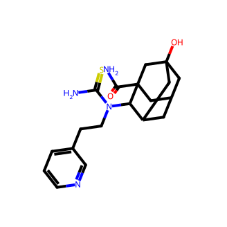 NC(=O)C12CC3CC(CC(O)(C3)C1)C2N(CCc1cccnc1)C(N)=S